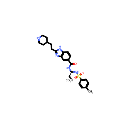 Cc1ccc(S(=O)(=O)N[C@@H](CC(=O)O)NC(=O)c2ccc3[nH]c(CCC4CCNCC4)nc3c2)cc1